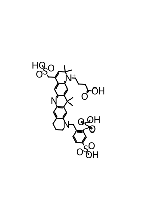 CC1(C)c2cc3c(cc2N=c2cc4c(cc21)=[N+](CCCC(=O)O)C(C)(C)C=C4CS(=O)(=O)O)CCCN3Cc1ccc(S(=O)(=O)O)cc1S(=O)(=O)O